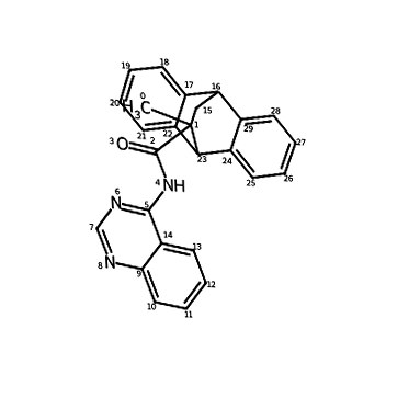 CC1(C(=O)Nc2ncnc3ccccc23)CC2c3ccccc3C1c1ccccc12